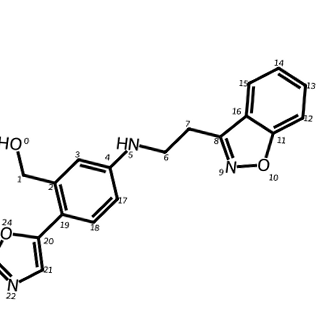 OCc1cc(NCCc2noc3ccccc23)ccc1-c1cnco1